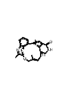 C/C1=C\C[C@H]2CNC(=O)c3cc([nH]c32)-c2cccc3nc(C)c(nc23)OC1